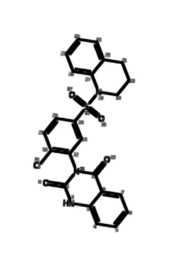 O=c1[nH]c2ccccc2c(=O)n1-c1cc(S(=O)(=O)N2CCCc3ccccc32)ccc1Cl